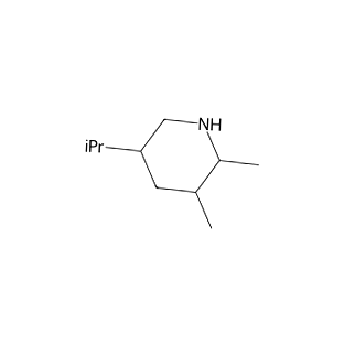 CC(C)C1CNC(C)C(C)C1